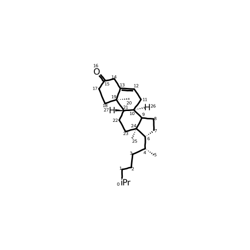 CC(C)CCC[C@@H](C)[C@H]1CCC2[C@@H]3CC=C4CC(=O)CC[C@]4(C)[C@H]3CC[C@@]21C